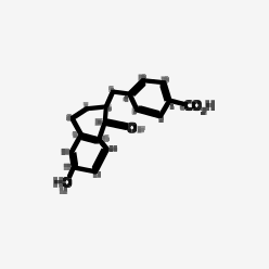 O=C(O)c1ccc(CC2CCc3cc(O)ccc3C2=O)cc1